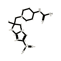 CC1(CN2CCC(NC(=O)O)CC2)Cn2cc([N+](=O)[O-])nc2O1